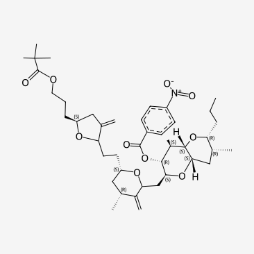 C=C1C[C@H](CCCOC(=O)C(C)(C)C)OC1CC[C@H]1C[C@@H](C)C(=C)C(C[C@@H]2O[C@H]3C[C@@H](C)[C@@H](CCC)O[C@H]3[C@H](C)[C@H]2OC(=O)c2ccc([N+](=O)[O-])cc2)O1